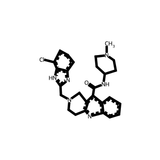 CN1CCC(NC(=O)c2c3c(nc4ccccc24)CCN(Cc2nc4cccc(Cl)c4[nH]2)C3)CC1